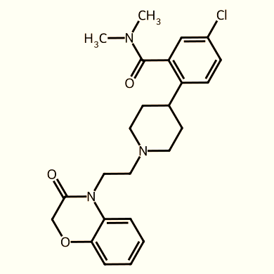 CN(C)C(=O)c1cc(Cl)ccc1C1CCN(CCN2C(=O)COc3ccccc32)CC1